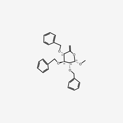 C=C1O[C@H](OC)[C@H](OCc2ccccc2)[C@@H](OCc2ccccc2)[C@@H]1OCc1ccccc1